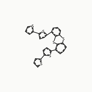 c1csc(-c2ccc(-c3cccc4c3Sc3c(cccc3-c3ccc(-c5cccs5)s3)S4)s2)c1